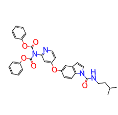 CC(C)CCNC(=O)n1ccc2cc(Oc3ccnc(N(C(=O)Oc4ccccc4)C(=O)Oc4ccccc4)c3)ccc21